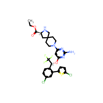 CCOC(=O)[C@@H]1CC2(CCN(c3cc(O[C@H](c4ccc(Cl)cc4-c4ccc(Cl)s4)C(F)(F)F)nc(N)n3)CC2)CN1